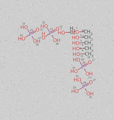 CO.CO.CO.CO.CO.CO.O=P(O)(O)O.O=P(O)(O)O.O=P(O)(O)O.O=P(O)(O)O